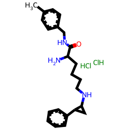 Cc1ccc(CNC(=O)C(N)CCCCNC2CC2c2ccccc2)cc1.Cl.Cl